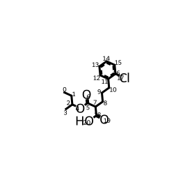 CCC(C)OC(=O)C(CCCc1ccccc1Cl)C(=O)O